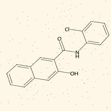 O=C(Nc1ccccc1Cl)c1cc2ccccc2cc1O